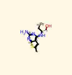 Cc1cc2c(N[C@@H](CO)CC(C)C)nc(N)nc2s1